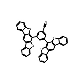 N#Cc1cc(-c2c3oc4ccccc4c3cc3c2oc2ccccc23)cc(-c2c3oc4ccccc4c3cc3c2oc2ccccc23)c1